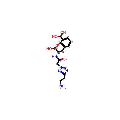 NCCc1ncn(CC(=O)N[C@H]2Cc3cccc(C(O)O)c3OB2O)n1